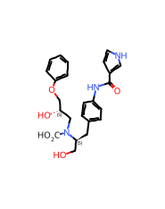 O=C(Nc1ccc(C[C@@H](CO)N(C[C@H](O)COc2ccccc2)C(=O)O)cc1)c1cc[nH]c1